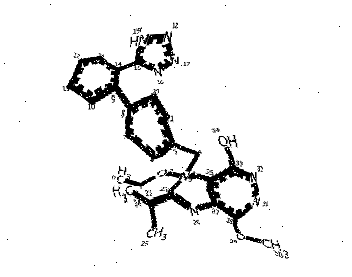 CCO[N+]1(Cc2ccc(-c3ccccc3-c3nnn[nH]3)cc2)C(C(C)C)=Nc2c(OC)nnc(O)c21